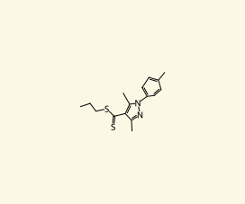 CCCSC(=S)c1c(C)nn(-c2ccc(C)cc2)c1C